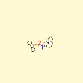 O=C(NC(Cc1nc2c(F)cccc2s1)C(=O)O)OCC1c2ccccc2-c2ccccc21